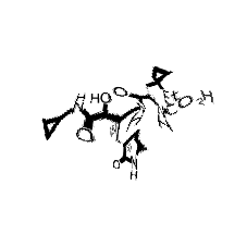 CCC1(C[C@H](NC(=O)O)C(=O)N[C@@H](C[C@@H]2CCNC2=O)C(O)C(=O)NC2CC2)CC1